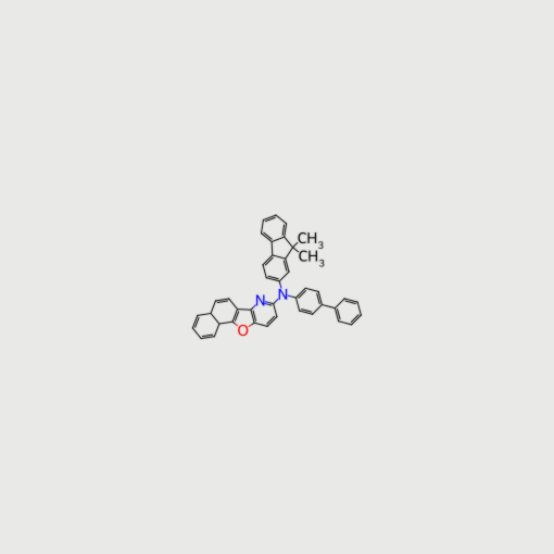 CC1(C)c2ccccc2-c2ccc(N(c3ccc(-c4ccccc4)cc3)c3ccc4oc5c(c4n3)C=CC3C=CC=CC53)cc21